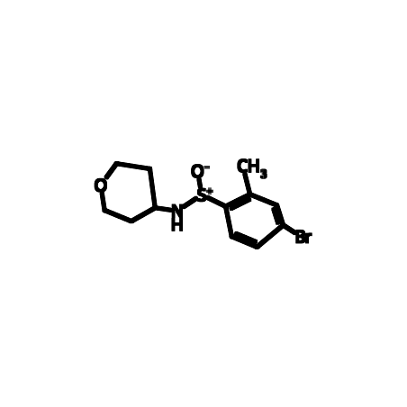 Cc1cc(Br)ccc1[S+]([O-])NC1CCOCC1